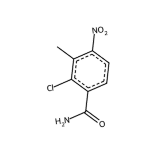 Cc1c([N+](=O)[O-])ccc(C(N)=O)c1Cl